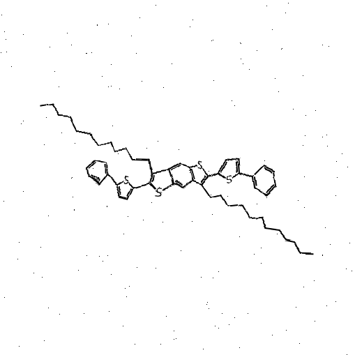 CCCCCCCCCCCCc1c(-c2ccc(-c3ccccc3)s2)sc2cc3c(CCCCCCCCCCCC)c(-c4ccc(-c5ccccc5)s4)sc3cc12